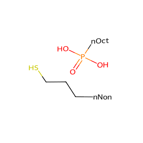 CCCCCCCCCCCCS.CCCCCCCCP(=O)(O)O